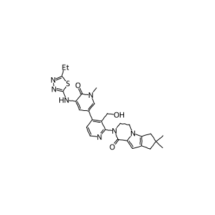 CCc1nnc(Nc2cc(-c3ccnc(N4CCn5c(cc6c5CC(C)(C)C6)C4=O)c3CO)cn(C)c2=O)s1